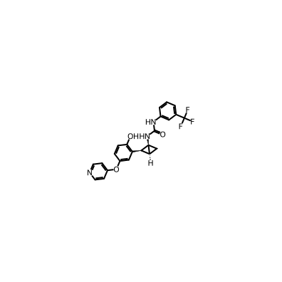 O=C(Nc1cccc(C(F)(F)F)c1)N[C@@]12C[C@H]1[C@H]2c1cc(Oc2ccncc2)ccc1O